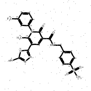 CCCc1nnc(-c2cc(C(=O)NCc3ccc(S(C)(=O)=O)cc3)c(=O)n(-c3cccc(C(F)(F)F)c3)c2C)o1